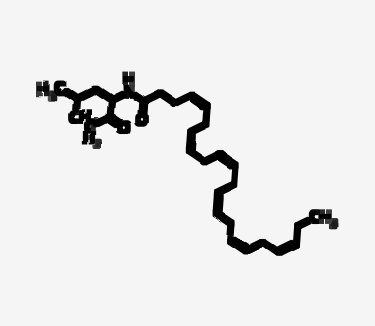 CC/C=C\C/C=C\C/C=C\C/C=C\C/C=C\C/C=C\CCC(=O)NC(CC(C)C)C(C)=O